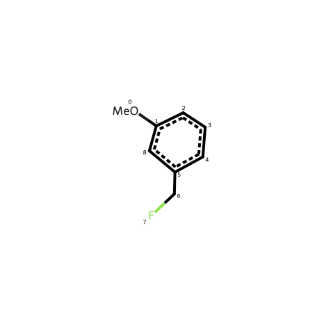 COc1cccc(CF)c1